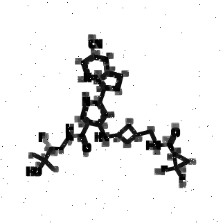 CC(C)(O)[C@H](F)CNC(=O)c1cnc(-c2ccc3cc(C#N)cnn23)cc1NC1CC(CNC(=O)[C@H]2CC2(F)F)C1